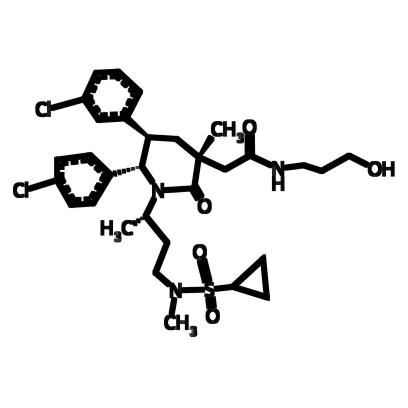 C[C@@H](CCN(C)S(=O)(=O)C1CC1)N1C(=O)[C@@](C)(CC(=O)NCCCO)C[C@H](c2cccc(Cl)c2)[C@H]1c1ccc(Cl)cc1